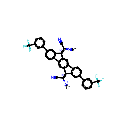 [C-]#[N+]/C(C#N)=C1/c2cc(-c3cccc(C(F)(F)F)c3)ccc2-c2cc3c(cc21)-c1ccc(-c2cccc(C(F)(F)F)c2)cc1/C3=C(/C#N)[N+]#[C-]